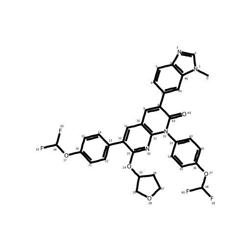 Cn1cnc2ccc(-c3cc4cc(-c5ccc(OC(F)F)cc5)c(OC5CCOC5)nc4n(-c4ccc(OC(F)F)cc4)c3=O)cc21